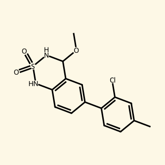 COC1NS(=O)(=O)Nc2ccc(-c3ccc(C)cc3Cl)cc21